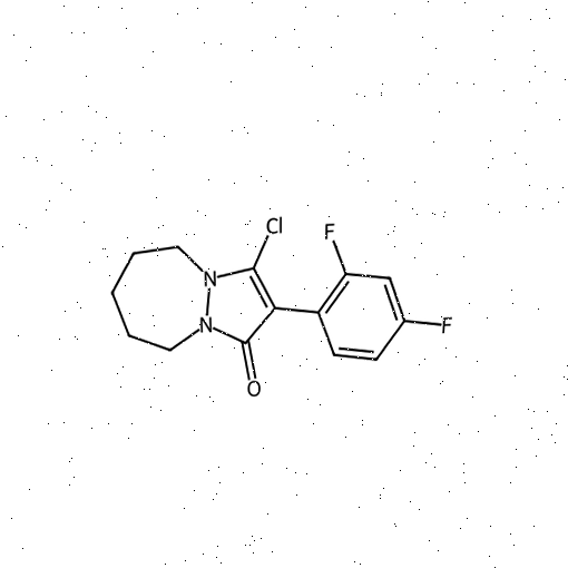 O=c1c(-c2ccc(F)cc2F)c(Cl)n2n1CCCCC2